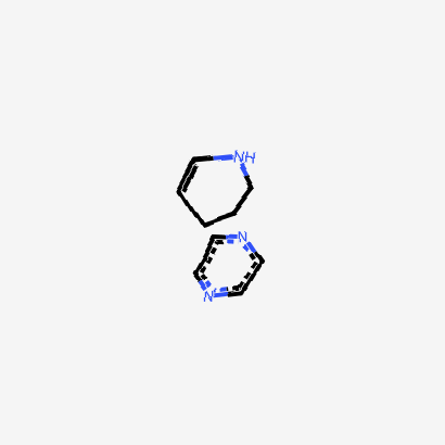 C1=CNCCC1.c1cnccn1